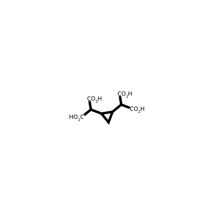 O=C(O)C(C(=O)O)C1CC1C(C(=O)O)C(=O)O